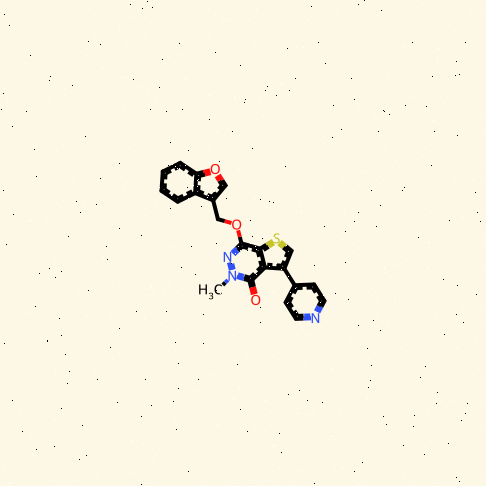 Cn1nc(OCc2coc3ccccc23)c2scc(-c3ccncc3)c2c1=O